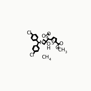 C.COC(=O)c1ccc(C(=S(=O)=O)C2(O)CN(C(c3ccc(Cl)cc3)c3ccc(Cl)cc3)C2)s1